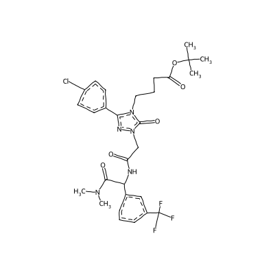 CN(C)C(=O)C(NC(=O)Cn1nc(-c2ccc(Cl)cc2)n(CCCC(=O)OC(C)(C)C)c1=O)c1cccc(C(F)(F)F)c1